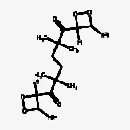 CCCC1OOC1(CC)C(=O)C(C)(C)CCC(C)(C)C(=O)C1(CC)OOC1CCC